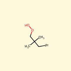 CC(C)CC(C)(C)COO